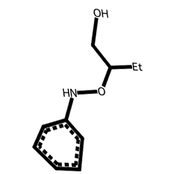 CCC(CO)ONc1ccccc1